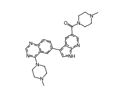 CN1CCN(C(=O)c2cnc3[nH]cc(-c4ccc5ncnc(N6CCN(C)CC6)c5c4)c3c2)CC1